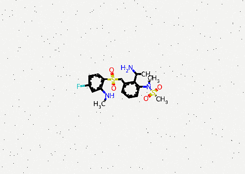 CNc1cc(F)ccc1S(=O)(=O)Cc1cccc(N(C)S(C)(=O)=O)c1C(C)N